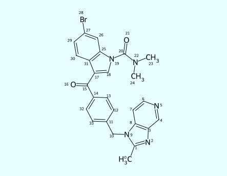 Cc1nc2cnccc2n1Cc1ccc(C(=O)c2cn(C(=O)N(C)C)c3cc(Br)ccc23)cc1